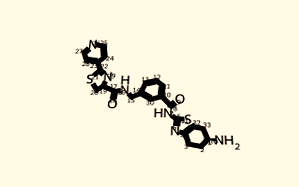 N[C@H]1CCc2nc(NC(=O)c3cccc(CNC(=O)C4CSC(c5ccncc5)=N4)c3)sc2C1